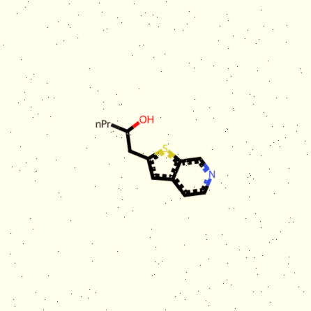 CCCC(O)Cc1cc2ccncc2s1